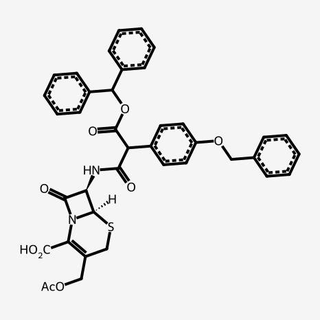 CC(=O)OCC1=C(C(=O)O)N2C(=O)[C@@H](NC(=O)C(C(=O)OC(c3ccccc3)c3ccccc3)c3ccc(OCc4ccccc4)cc3)[C@H]2SC1